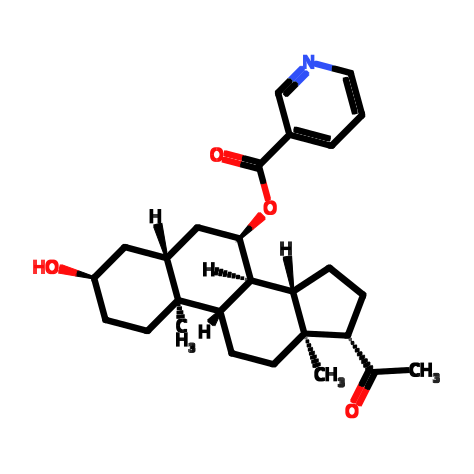 CC(=O)[C@H]1CC[C@H]2[C@@H]3[C@H](OC(=O)c4cccnc4)C[C@H]4C[C@H](O)CC[C@]4(C)[C@H]3CC[C@]12C